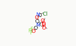 CCOC(=O)Cc1c(C(=O)OCC)c2cc(Oc3ccc(CCl)cn3)ccc2n1-c1ccc(OC(F)(F)F)cc1